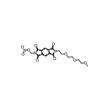 COCCOCCOCCn1c(=O)c2cc3c(=O)n(CO[N+](=O)[O-])c(=O)c3cc2c1=O